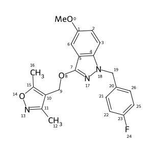 COc1ccc2c(c1)c(OCc1c(C)noc1C)nn2Cc1ccc(F)cc1